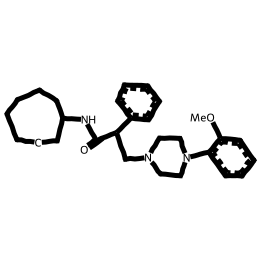 COc1ccccc1N1CCN(CC(C(=O)NC2CCCCCCC2)c2ccccc2)CC1